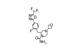 NC(=O)N1CCN(C2COC2)CC1Cc1ccc(-c2nnc(C(F)F)o2)cc1F